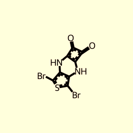 O=c1c2c(c1=O)Nc1c(Br)sc(Br)c1N2